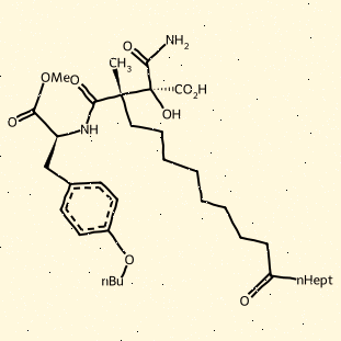 CCCCCCCC(=O)CCCCCCCC[C@](C)(C(=O)N[C@@H](Cc1ccc(OCCCC)cc1)C(=O)OC)[C@](O)(C(N)=O)C(=O)O